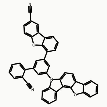 N#Cc1ccc2oc3c(-c4cc(-c5ccccc5C#N)cc(-n5c6ccccc6c6c7oc8ccccc8c7ccc65)c4)cccc3c2c1